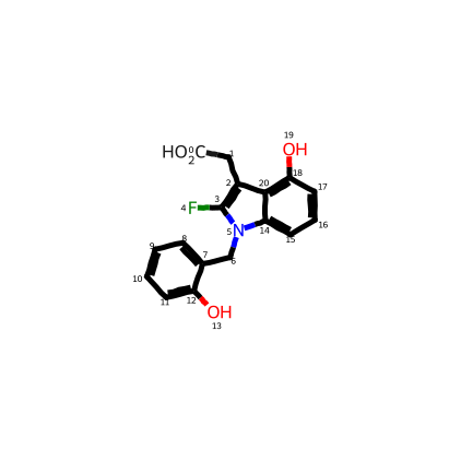 O=C(O)Cc1c(F)n(Cc2ccccc2O)c2cccc(O)c12